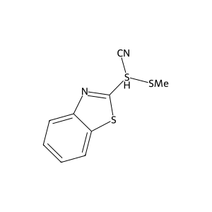 CS[SH](C#N)c1nc2ccccc2s1